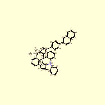 C[Si]1(C)c2ccccc2C2(c3ccccc3-n3c4ccccc4c4cccc2c43)c2cc(-c3ccc(-c4ccc5ccccc5c4)cc3)ccc21